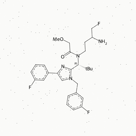 COCC(=O)N(CCC(N)CF)[C@@H](c1nc(-c2cccc(F)c2)cn1Cc1cccc(F)c1)C(C)(C)C